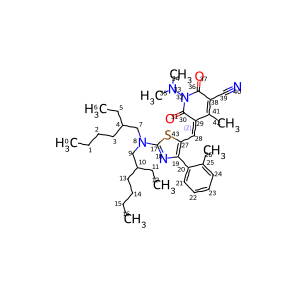 CCCCC(CC)CN(CC(CC)CCCC)c1nc(-c2ccccc2C)c(/C=C2\C(=O)N(N(C)C)C(=O)C(C#N)=C2C)s1